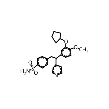 COc1ccc(C(Cc2ccc(S(N)(=O)=O)cc2)c2ccncc2)cc1OC1CCCC1